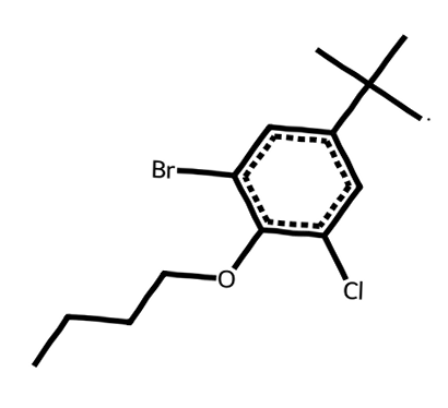 [CH2]C(C)(C)c1cc(Cl)c(OCCCC)c(Br)c1